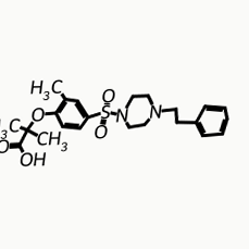 Cc1cc(S(=O)(=O)N2CCN(CCc3ccccc3)CC2)ccc1OC(C)(C)C(=O)O